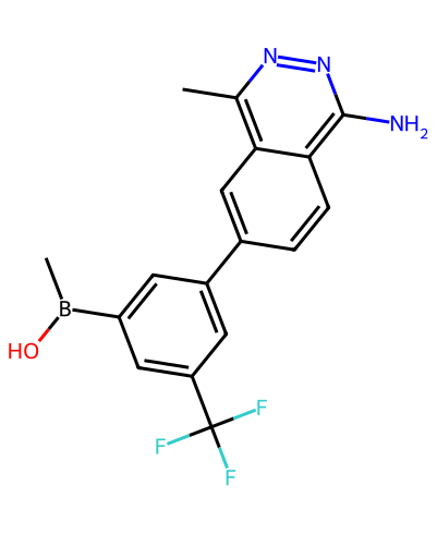 CB(O)c1cc(-c2ccc3c(N)nnc(C)c3c2)cc(C(F)(F)F)c1